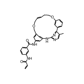 C=CC(=O)Nc1cccc(C(=O)Nc2cc3cc(c2)Nc2ncc(C)c(n2)-c2cccc(c2)OCC/C=C/COC3)c1